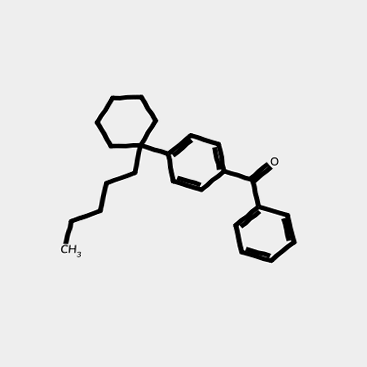 CCCCCC1(c2ccc(C(=O)c3ccccc3)cc2)CCCCC1